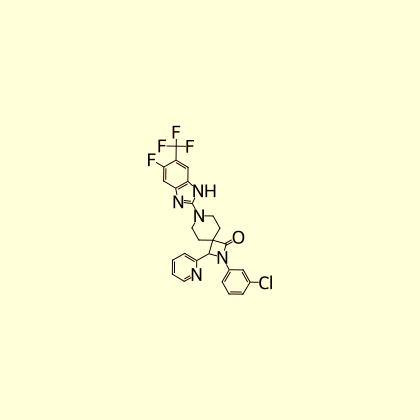 O=C1N(c2cccc(Cl)c2)C(c2ccccn2)C12CCN(c1nc3cc(F)c(C(F)(F)F)cc3[nH]1)CC2